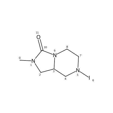 CN1CC2CN(I)CCN2C1=O